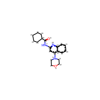 O=C(Nc1cc(N2CCOCC2)c2ccccc2n1)C1CCCCC1